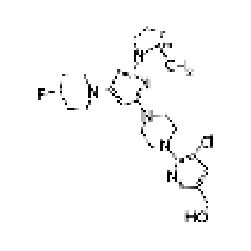 C[C@@H]1CCCN1c1cc(N2CCC(F)CC2)cc(N2CCN(c3ncc(CO)cc3Cl)CC2)n1